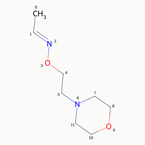 C/C=N/OCCN1CCOCC1